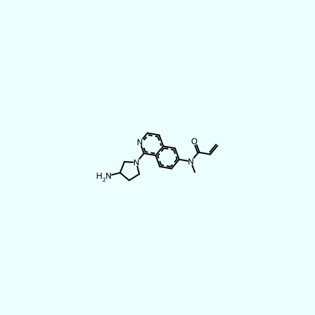 C=CC(=O)N(C)c1ccc2c(N3CCC(N)C3)nccc2c1